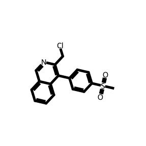 CS(=O)(=O)c1ccc(-c2c(CCl)ncc3ccccc23)cc1